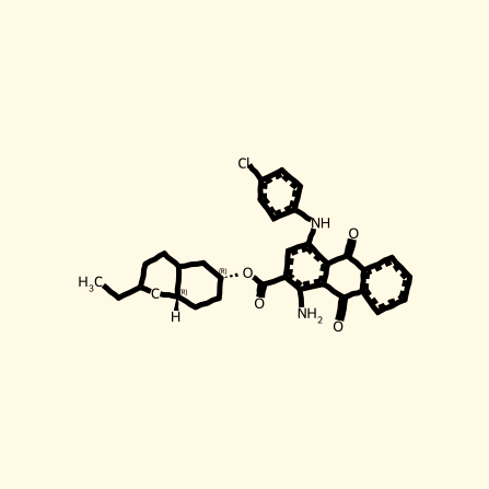 CCC1CCC2C[C@H](OC(=O)c3cc(Nc4ccc(Cl)cc4)c4c(c3N)C(=O)c3ccccc3C4=O)CC[C@@H]2C1